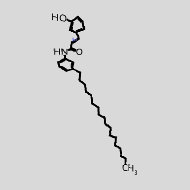 CCCCCCCCCCCCCCCCCCc1cccc(NC(=O)/C=C/c2cccc(O)c2)c1